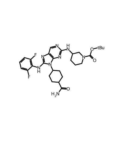 CC(C)(C)OC(=O)N1CCCC(Nc2ncc3nc(Nc4c(F)cccc4F)n(C4CCC(C(N)=O)CC4)c3n2)C1